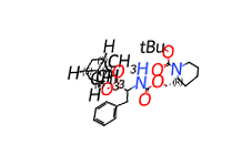 CC(C)(C)OC(=O)N1CCCC[C@@H]1COC(=O)NC(Cc1ccccc1)B1O[C@@H]2C[C@@H]3C[C@@H](C3(C)C)[C@]2(C)O1